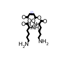 NCCCC[C@H](N)C(=O)OC(=O)/C=C\C(=O)OC(=O)[C@@H](N)CCCCN